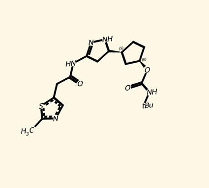 Cc1ncc(CC(=O)NC2=NNC([C@H]3CC[C@@H](OC(=O)NC(C)(C)C)C3)C2)s1